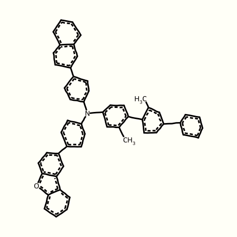 Cc1cc(-c2ccccc2)ccc1-c1ccc(N(c2ccc(-c3ccc4ccccc4c3)cc2)c2ccc(-c3ccc4oc5ccccc5c4c3)cc2)cc1C